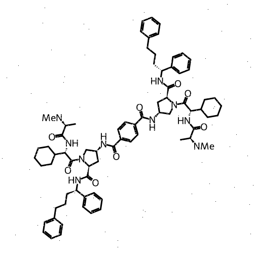 CN[C@@H](C)C(=O)N[C@H](C(=O)N1C[C@@H](NC(=O)c2ccc(C(=O)N[C@H]3C[C@@H](C(=O)N[C@H](CCCc4ccccc4)c4ccccc4)N(C(=O)[C@@H](NC(=O)[C@H](C)NC)C4CCCCC4)C3)cc2)C[C@H]1C(=O)N[C@H](CCCc1ccccc1)c1ccccc1)C1CCCCC1